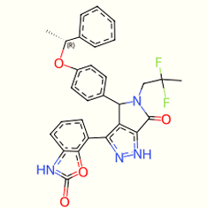 C[C@@H](Oc1ccc(C2c3c(-c4cccc5[nH]c(=O)oc45)n[nH]c3C(=O)N2CC(C)(F)F)cc1)c1ccccc1